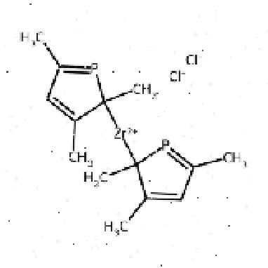 CC1=CC(C)=P[C]1(C)[Zr+2][C]1(C)P=C(C)C=C1C.[Cl-].[Cl-]